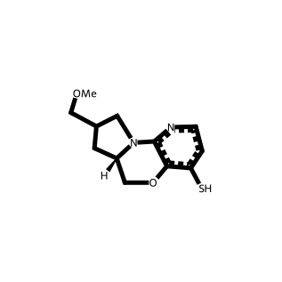 COCC1C[C@H]2COc3c(S)ccnc3N2C1